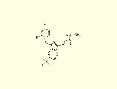 NNC(=O)/C=C/c1nn(Cc2ccc(Cl)cc2F)c2cc(C(F)(F)F)ccc12